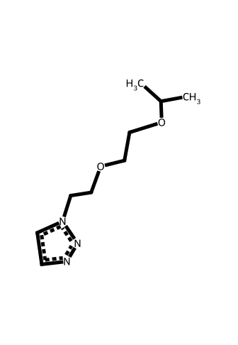 CC(C)OCCOCCn1ccnn1